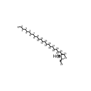 CCCCCCCCCCCCCCCCCCCCCCC(CC)N(O)CCC